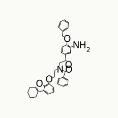 Nc1cc(C(=O)CN(CCOc2cccc3c4c(oc23)CCCC4)C(=O)c2ccccc2)ccc1OCc1ccccc1